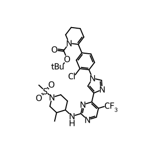 CC1CN(S(C)(=O)=O)CCC1Nc1ncc(C(F)(F)F)c(-c2cn(-c3ccc(C4=CCCCN4C(=O)OC(C)(C)C)cc3Cl)cn2)n1